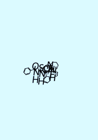 C[C@@](CS1(=O)=NCCCCN1)(NC(=S)NC(=O)c1ccccc1)c1ccccc1F